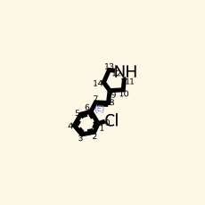 Clc1ccccc1/C=C/C1CCNCC1